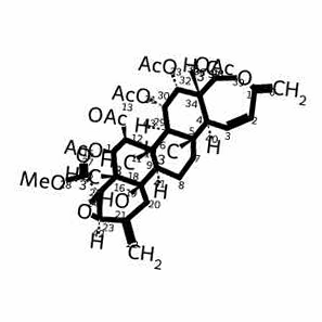 C=C1C=C[C@H]2[C@]3(C)CC[C@@H]4[C@](C)([C@H](OC(C)=O)[C@H](OC(C)=O)[C@]5(C)[C@@]4(O)CC(=C)[C@H]4O[C@]45C(=O)OC)[C@H]3[C@H](OC(C)=O)[C@H](OC(C)=O)[C@]2(COC(C)=O)[C@@H](C)O1